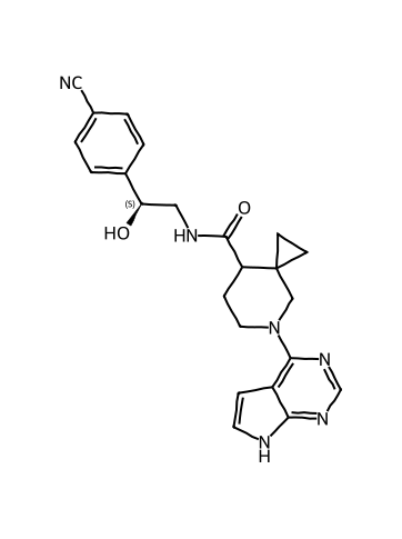 N#Cc1ccc([C@H](O)CNC(=O)C2CCN(c3ncnc4[nH]ccc34)CC23CC3)cc1